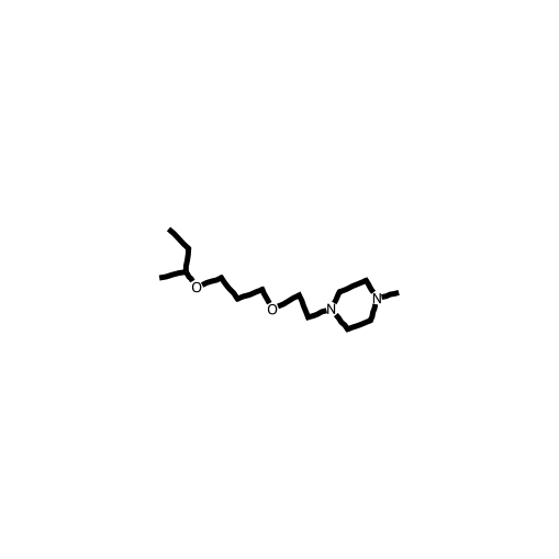 CCC(C)OCCCOCCN1CCN(C)CC1